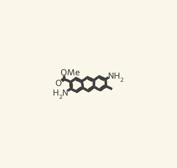 COC(=O)c1cc2cc3cc(N)c(C)cc3cc2cc1N